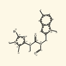 Cc1ccc2c(c1)cc(CN(C=O)C(=O)N(C)c1nc(Br)n(C)c1C)n2C